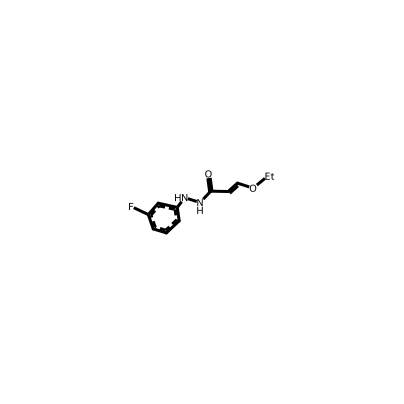 CCO/C=C/C(=O)NNc1cccc(F)c1